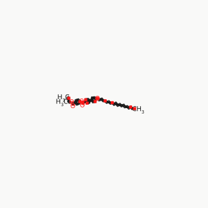 CCCCCCCCCCCCCCCCCCCCOc1ccc(-c2ccc(C(=O)Oc3ccc(C(=O)OCC(C)CC)cc3)cc2)cc1